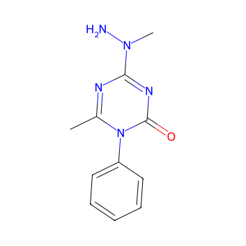 Cc1nc(N(C)N)nc(=O)n1-c1ccccc1